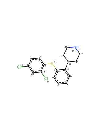 Clc1ccc(Sc2ccccc2C2CCNCC2)c(Cl)c1